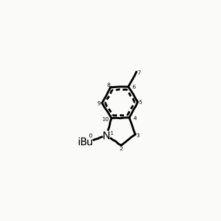 CCC(C)N1CCc2cc(C)ccc21